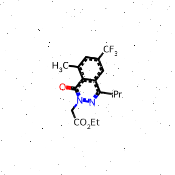 CCOC(=O)Cn1nc(C(C)C)c2cc(C(F)(F)F)cc(C)c2c1=O